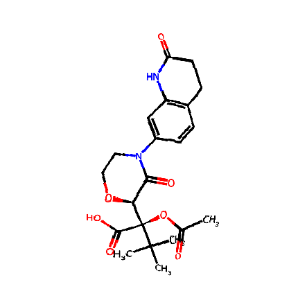 CC(=O)O[C@@](C(=O)O)([C@H]1OCCN(c2ccc3c(c2)NC(=O)CC3)C1=O)C(C)(C)C